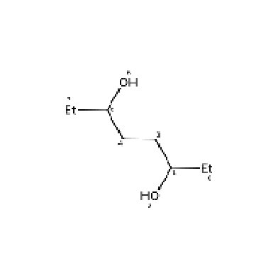 [CH2]CC(O)CCC(O)CC